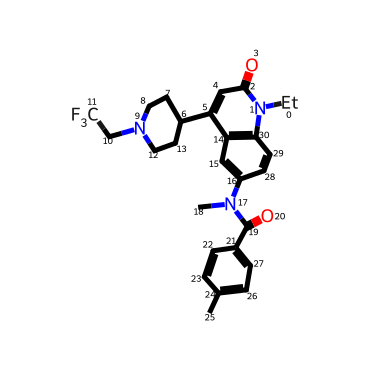 CCn1c(=O)cc(C2CCN(CC(F)(F)F)CC2)c2cc(N(C)C(=O)c3ccc(C)cc3)ccc21